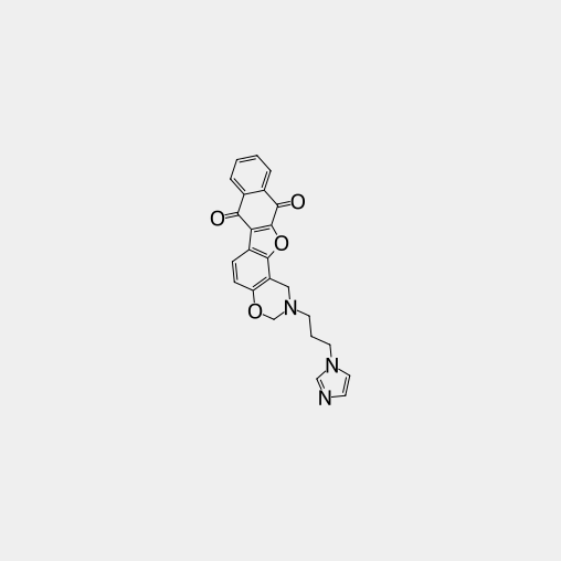 O=C1c2ccccc2C(=O)c2c1oc1c3c(ccc21)OCN(CCCn1ccnc1)C3